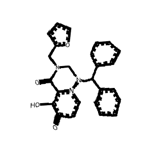 O=C1c2c(O)c(=O)ccn2N(C(c2ccccc2)c2ccccc2)CN1Cc1ccco1